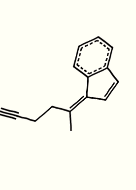 C#CCCC(C)=C1C=Cc2ccccc21